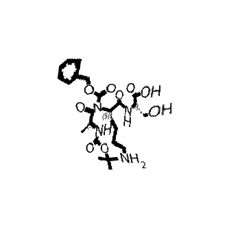 C[C@H](NC(=O)OC(C)(C)C)C(=O)N(C(=O)OCc1ccccc1)[C@@H](CCCCN)C(=O)N[C@@H](CO)C(=O)O